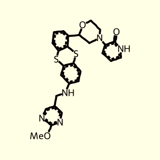 COc1ncc(CNc2ccc3c(c2)Sc2cccc(C4CN(c5ccc[nH]c5=O)CCO4)c2S3)cn1